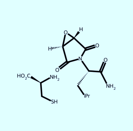 CC(C)C[C@@H](C(N)=O)N1C(=O)[C@H]2O[C@@H]2C1=O.N[C@@H](CS)C(=O)O